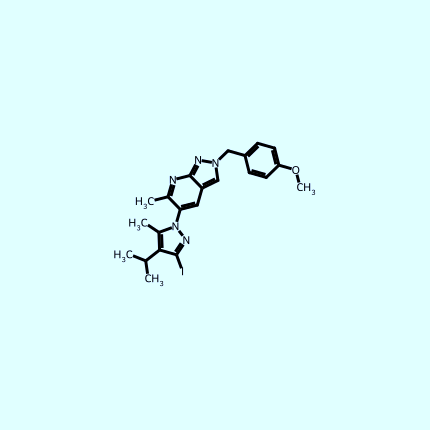 COc1ccc(Cn2cc3cc(-n4nc(I)c(C(C)C)c4C)c(C)nc3n2)cc1